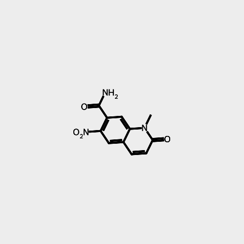 Cn1c(=O)ccc2cc([N+](=O)[O-])c(C(N)=O)cc21